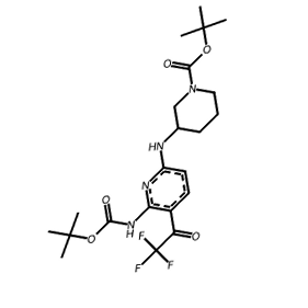 CC(C)(C)OC(=O)Nc1nc(NC2CCCN(C(=O)OC(C)(C)C)C2)ccc1C(=O)C(F)(F)F